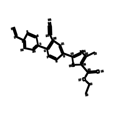 C=Cc1ccc(-c2ccc(-c3nc(C)c(C(=O)OCC)s3)cc2C#N)cc1